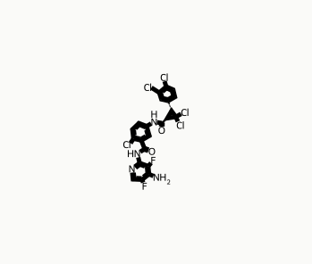 Nc1c(F)cnc(NC(=O)c2cc(NC(=O)[C@H]3[C@H](c4ccc(Cl)c(Cl)c4)C3(Cl)Cl)ccc2Cl)c1F